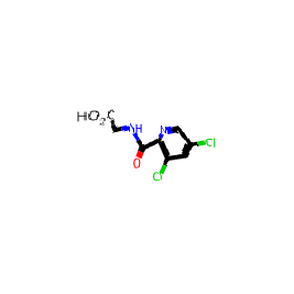 O=C(O)CNC(=O)c1ncc(Cl)cc1Cl